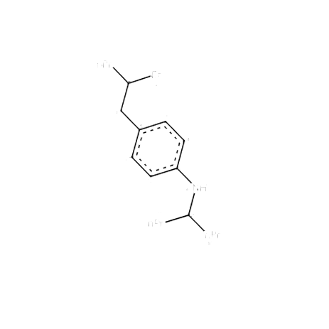 CCCC(CC)Cc1ccc(NC(CCC)CCC)cc1